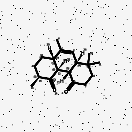 CC1=C[C@@H]2[C@H](C(=O)CCC2(C)C)[C@H]2C(=O)[C@@H](C)CC[C@H]12